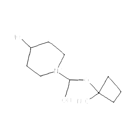 CCC1CCN(C(O)OC2(C)CCC2)CC1